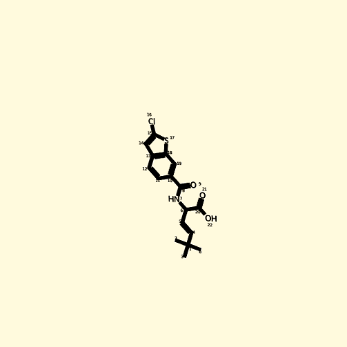 CC(C)(C)/C=C/C(NC(=O)c1ccc2cc(Cl)sc2c1)C(=O)O